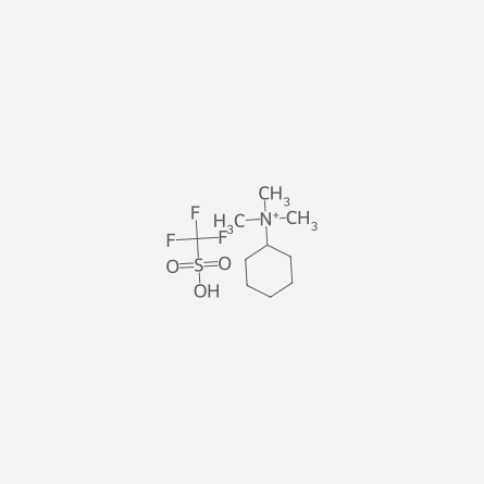 C[N+](C)(C)C1CCCCC1.O=S(=O)(O)C(F)(F)F